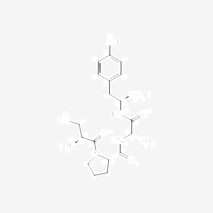 C[C@H](NC(=O)[C@@H]1CCCN1C(=O)[C@@H](N)CO)C(=O)N[C@@H](Cc1ccc(O)cc1)C(=O)O